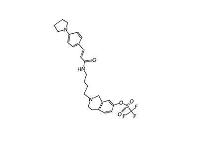 O=C(C=Cc1ccc(N2CCCC2)cc1)NCCCCN1CCc2ccc(OS(=O)(=O)C(F)(F)F)cc2C1